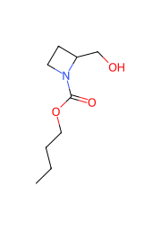 CCCCOC(=O)N1CCC1CO